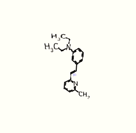 CCN(CC)c1cccc(/C=C/c2cccc(C)n2)c1